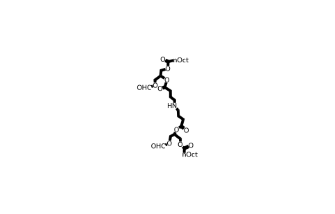 CCCCCCCCC(=O)OCC(COC=O)OC(=O)CCCNCCCC(=O)OC(COC=O)COC(=O)CCCCCCCC